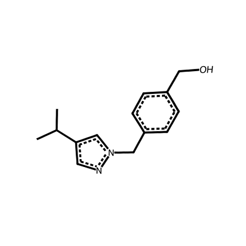 CC(C)c1cnn(Cc2ccc(CO)cc2)c1